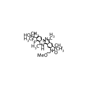 COCCN1C(=O)C(C)(C)c2cc3c(C)nnc(NC(C)c4cccc(C(F)(F)C(C)(C)O)c4F)c3cc21